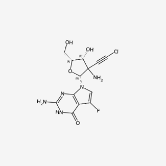 Nc1nc2c(c(F)cn2[C@@H]2O[C@H](CO)[C@H](O)C2(N)C#CCl)c(=O)[nH]1